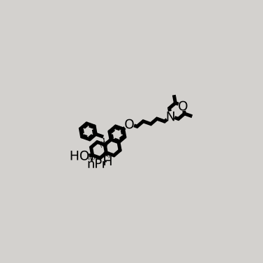 CCC[C@@]1(O)CC[C@@]2(Cc3ccccc3)c3ccc(OCCCCCN4CC(C)OC(C)C4)cc3CC[C@@H]2C1